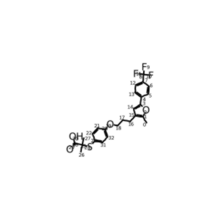 Cc1oc(-c2ccc(C(F)(F)F)cc2)cc1CCCOc1ccc(SC(C)(C)C(=O)O)cc1